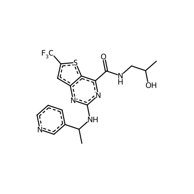 CC(O)CNC(=O)c1nc(NC(C)c2cccnc2)nc2cc(C(F)(F)F)sc12